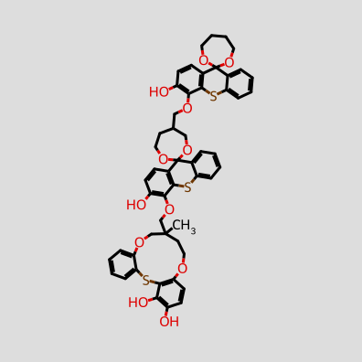 CC1(COc2c(O)ccc3c2Sc2ccccc2C32OCCC(COc3c(O)ccc4c3Sc3ccccc3C43OCCCCO3)CO2)CCOc2ccc(O)c(O)c2Sc2ccccc2OC1